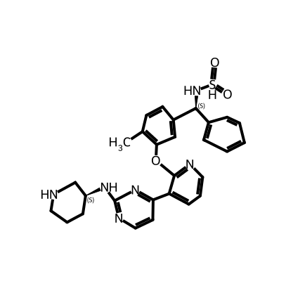 Cc1ccc([C@@H](N[SH](=O)=O)c2ccccc2)cc1Oc1ncccc1-c1ccnc(N[C@H]2CCCNC2)n1